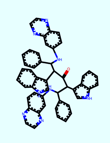 O=C(C(c1c[nH]c2ccccc12)C(Nc1ccc2nccnc2c1)c1ccccc1)C(c1c[nH]c2ccccc12)C(Nc1ccc2nccnc2c1)c1ccccc1